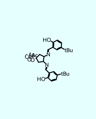 CC(=O)[O-].CC(=O)[O-].CC(C)(C)c1ccc(O)c(C=NC2CCCC2N=Cc2cc(C(C)(C)C)ccc2O)c1.[Co+2]